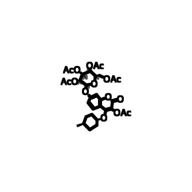 CC(=O)OC[C@H]1O[C@@H](Oc2ccc3c(O[C@H]4CC[C@H](C)CC4)c(OC(C)=O)c(=O)oc3c2)[C@H](OC(C)=O)[C@@H](OC(C)=O)[C@H]1OC(C)=O